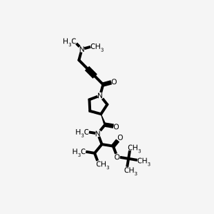 CC(C)C(C(=O)OC(C)(C)C)N(C)C(=O)[C@H]1CCN(C(=O)C#CCN(C)C)C1